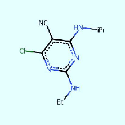 CCNc1nc(Cl)c(C#N)c(NC(C)C)n1